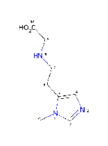 Cn1cncc1CCNCC(=O)O